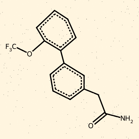 NC(=O)Cc1cccc(-c2ccccc2OC(F)(F)F)c1